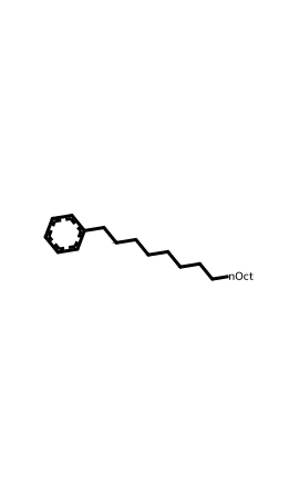 CCCCCCCCCCCCCC[CH]Cc1ccccc1